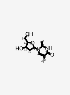 C=C1NC(=O)C(F)=CN1C1CC(O)C(CO)O1